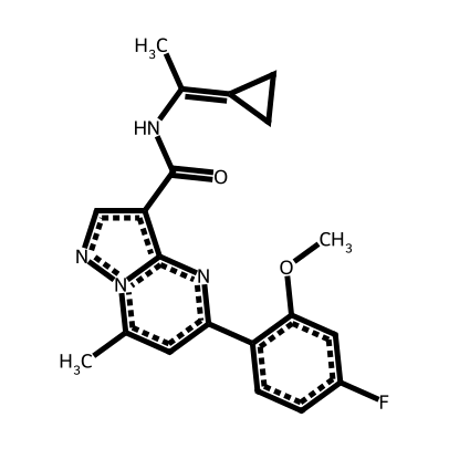 COc1cc(F)ccc1-c1cc(C)n2ncc(C(=O)NC(C)=C3CC3)c2n1